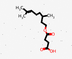 CC(C)=CCCC(C)CCOC(=O)CCC(=O)O